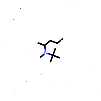 CCCC(C)N(C)C(C)(C)C